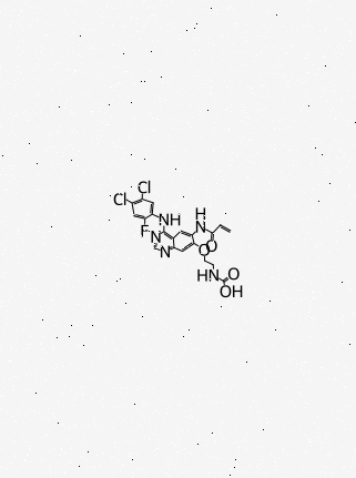 C=CC(=O)Nc1cc2c(Nc3cc(Cl)c(Cl)cc3F)ncnc2cc1OCCNC(=O)O